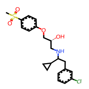 CS(=O)(=O)c1ccc(OC[C@H](O)CNC(Cc2cccc(Cl)c2)C2CC2)cc1